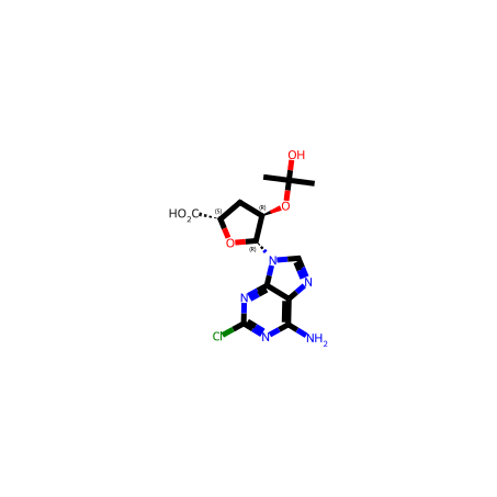 CC(C)(O)O[C@@H]1C[C@@H](C(=O)O)O[C@H]1n1cnc2c(N)nc(Cl)nc21